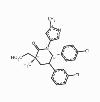 Cn1cc(N2C(=O)[C@@](C)(CC(=O)O)CC(c3cccc(Cl)c3)[C@H]2c2ccc(Cl)cc2)cn1